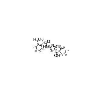 CCC(C(=O)Nc1ncc(C(O)c2ccccc2Cl)s1)c1ccccc1